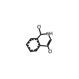 ClC1=CNC(Cl)c2ccccc21